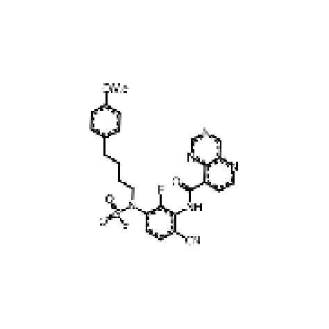 COc1ccc(CCCCN(c2ccc(C#N)c(NC(=O)c3ccnc4cncnc34)c2F)S(=O)(=O)F)cc1